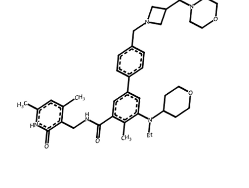 CCN(c1cc(-c2ccc(CN3CC(CN4CCOCC4)C3)cc2)cc(C(=O)NCc2c(C)cc(C)[nH]c2=O)c1C)C1CCOCC1